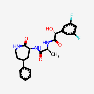 C[C@H](NC(=O)[C@H](O)c1cc(F)cc(F)c1)C(=O)N[C@H]1C[C@@H](c2ccccc2)CCNC1=O